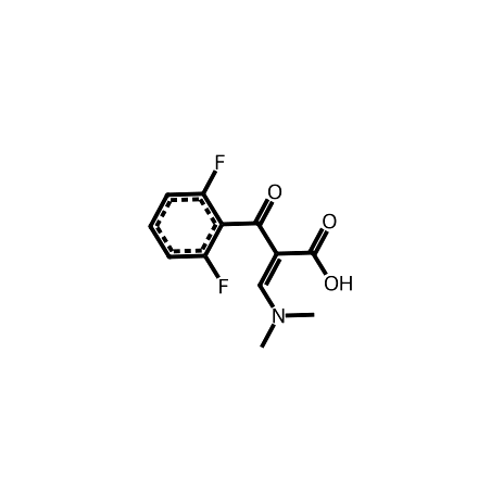 CN(C)C=C(C(=O)O)C(=O)c1c(F)cccc1F